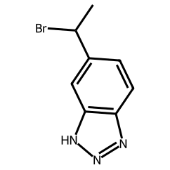 CC(Br)c1ccc2nn[nH]c2c1